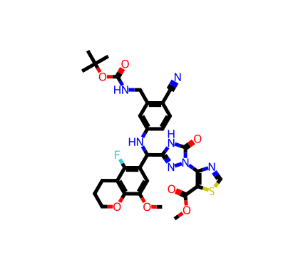 COC(=O)c1scnc1-n1nc(C(Nc2ccc(C#N)c(CNC(=O)OC(C)(C)C)c2)c2cc(OC)c3c(c2F)CCCO3)[nH]c1=O